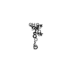 CC(C)(C)OC(=O)n1nc(-c2cc3ccc(OCCCN4CCCCC4)cc3n2C(=O)OC(C)(C)C)c2sc(CO)cc21